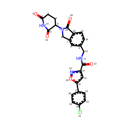 O=C1CCC(N2Cc3cc(CNC(=O)c4cc(-c5ccc(Cl)cc5)on4)ccc3C2=O)C(=O)N1